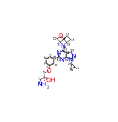 NCC(O)COc1cccc(-c2nc(N3C4CCC45OCC35)c3cnn(C4CC4)c3n2)c1